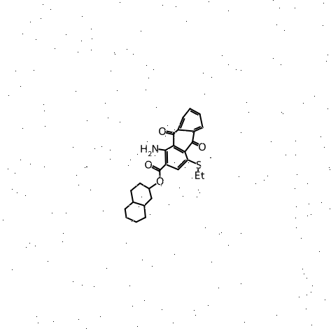 CCSc1cc(C(=O)OC2CCC3CCCCC3C2)c(N)c2c1C(=O)c1ccccc1C2=O